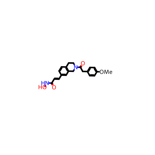 COc1ccc(CC(=O)N2CCc3ccc(C=CC(=O)NO)cc3C2)cc1